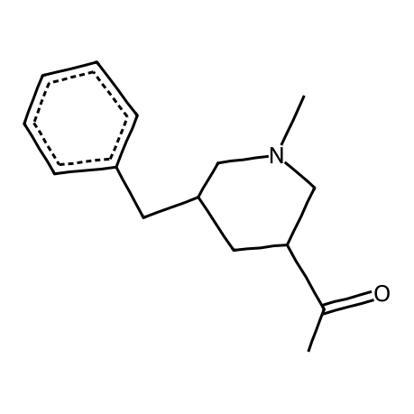 CC(=O)C1CC(Cc2ccccc2)CN(C)C1